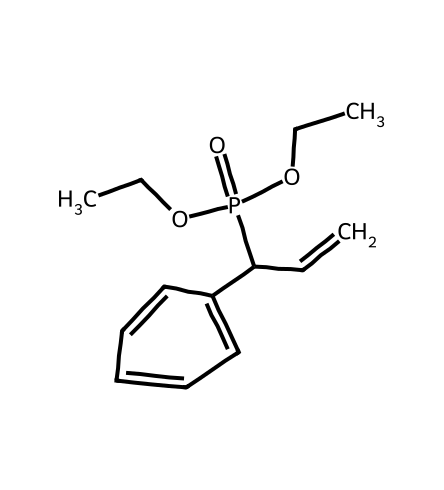 C=CC(c1ccccc1)P(=O)(OCC)OCC